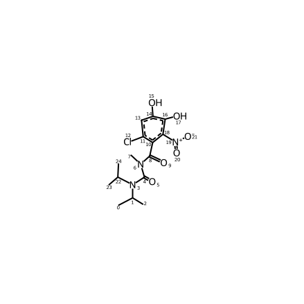 CC(C)N(C(=O)N(C)C(=O)c1c(Cl)cc(O)c(O)c1[N+](=O)[O-])C(C)C